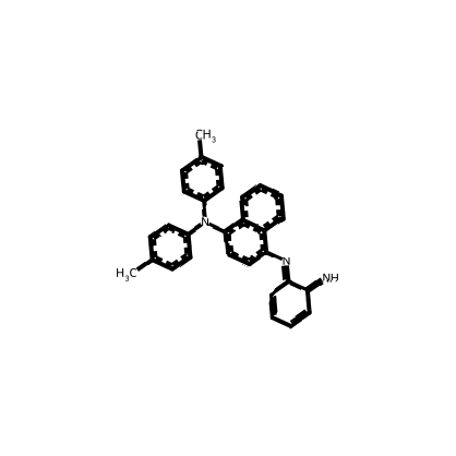 Cc1ccc(N(c2ccc(C)cc2)c2ccc(/N=C3\C=CC=CC3=N)c3ccccc23)cc1